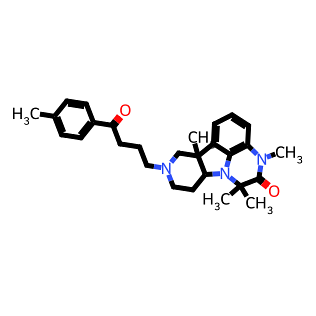 Cc1ccc(C(=O)CCCN2CCC3N4c5c(cccc5C3(C)C2)N(C)C(=O)C4(C)C)cc1